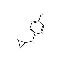 Cc1ccc(SC2CC2)cc1